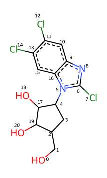 OCC1CC(n2c(Cl)nc3cc(Cl)c(Cl)cc32)C(O)C1O